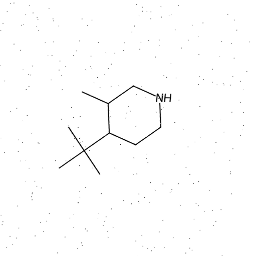 CC1CNCCC1C(C)(C)C